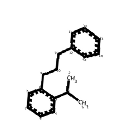 CC(C)c1ccccc1CCCc1ccccc1